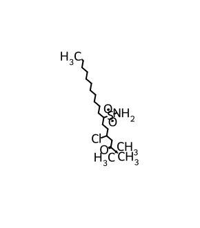 CCCCCCCCCCCC(CCC(Cl)CC(=O)C(C)(C)C)S(N)(=O)=O